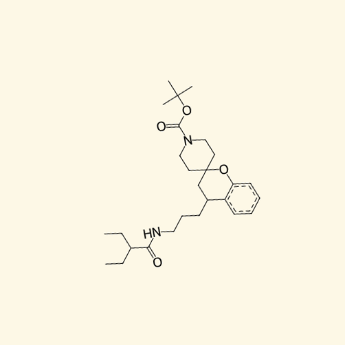 CCC(CC)C(=O)NCCCC1CC2(CCN(C(=O)OC(C)(C)C)CC2)Oc2ccccc21